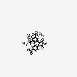 CC(C)(C)c1cc(C2C(=O)NC(=O)N2c2ccc([N+](=O)[O-])cc2)cc(C(C)(C)C)c1O